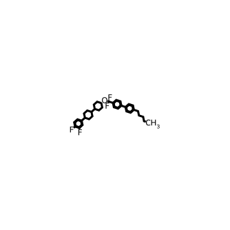 CCCCCc1ccc(-c2ccc(C(F)(F)OC3CCC(C4CCC(c5ccc(F)c(F)c5)CC4)CC3)cc2)cc1